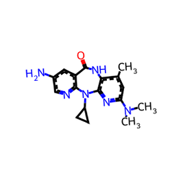 Cc1cc(N(C)C)nc2c1NC(=O)c1cc(N)cnc1N2C1CC1